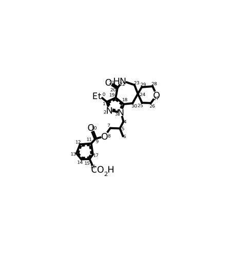 CCc1nn(CC(C)COC(=O)c2cccc(C(=O)O)c2)c2c1C(=O)NCC1(CCOCC1)C2